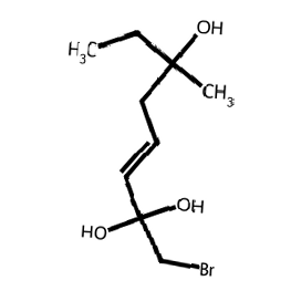 CCC(C)(O)CC=CC(O)(O)CBr